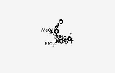 CCOC(=O)n1nc(NC(=O)c2ccc(OCCN3CCCC3)cc2N[C@H](C)COC)c2c1CCN(S(=O)(=O)c1cc(F)cc(F)c1)C2